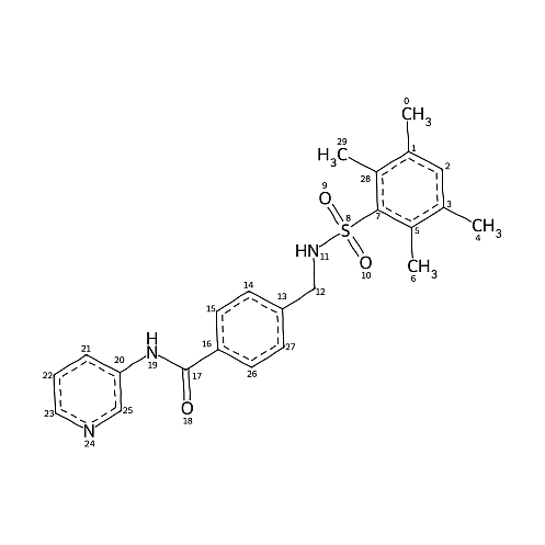 Cc1cc(C)c(C)c(S(=O)(=O)NCc2ccc(C(=O)Nc3cccnc3)cc2)c1C